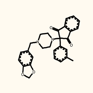 Cc1cccc(C2(N3CCN(Cc4ccc5c(c4)OCO5)CC3)C(=O)c3ccccc3C2=O)c1